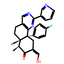 C[C@@H]1C(=O)C(=CO)C[C@]2(c3ccc(F)cc3)c3nc(-c4cccnc4)ncc3CC[C@@H]12